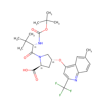 Cc1ccc2nc(C(F)(F)F)cc(O[C@@H]3C[C@@H](C(=O)O)N(C(=O)[C@@H](NC(=O)OC(C)(C)C)C(C)(C)C)C3)c2c1